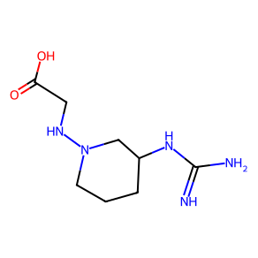 N=C(N)NC1CCCN(NCC(=O)O)C1